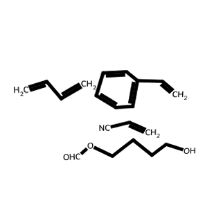 C=CC#N.C=CC=C.C=Cc1ccccc1.O=COCCCCO